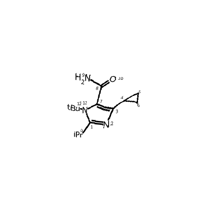 CC(C)c1nc(C2CC2)c(C(N)=O)n1C(C)(C)C